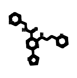 O=C(NCc1cccnc1)c1ccc(-c2cccs2)nc1NCCc1ccccn1